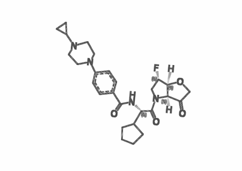 O=C(N[C@H](C(=O)N1C[C@H](F)[C@H]2OCC(=O)[C@H]21)C1CCCC1)c1ccc(N2CCN(C3CC3)CC2)cc1